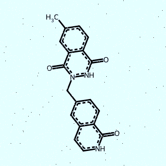 Cc1ccc2c(=O)[nH]n(Cc3ccc4c(=O)[nH]ccc4c3)c(=O)c2c1